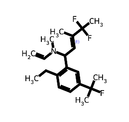 C=CN(C)C(/C=C(\C)C(C)(F)F)c1cc(C(C)(C)F)ccc1CC